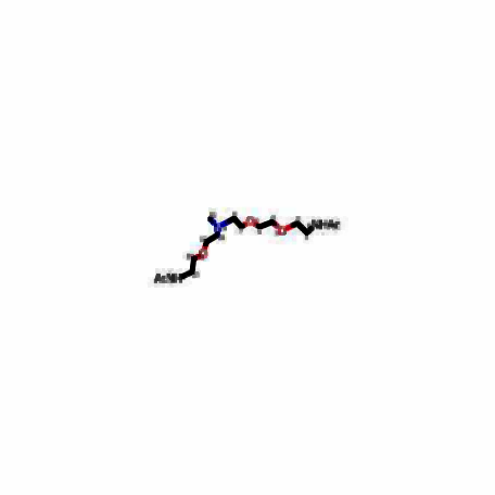 CC(=O)NCCOCCOCCN(C)CCOCCNC(C)=O